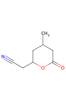 CC1CC(=O)OC(CC#N)C1